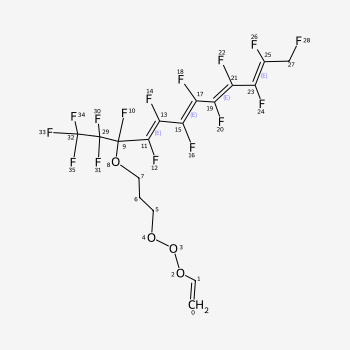 C=COOOCCCOC(F)(/C(F)=C(F)/C(F)=C(F)/C(F)=C(F)/C(F)=C(\F)CF)C(F)(F)C(F)(F)F